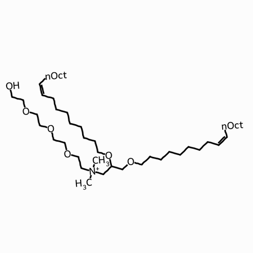 CCCCCCCC/C=C\CCCCCCCCOCC(C[N+](C)(C)CCOCCOCCOCCO)OCCCCCCCC/C=C\CCCCCCCC